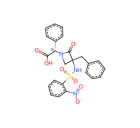 O=C(O)[C@H](c1ccccc1)N1CC(Cc2ccccc2)(NS(=O)(=O)c2ccccc2[N+](=O)[O-])C1=O